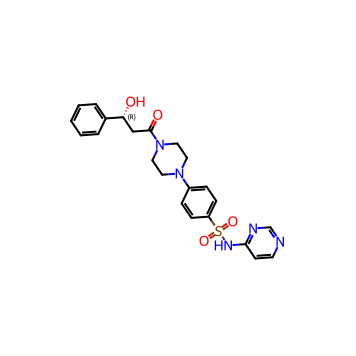 O=C(C[C@@H](O)c1ccccc1)N1CCN(c2ccc(S(=O)(=O)Nc3ccncn3)cc2)CC1